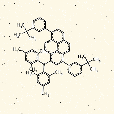 Cc1cc(C)c(B(c2c(C)cc(C)cc2C)c2cc(-c3cccc(C(C)(C)C)c3)c3ccc4ccc(-c5cccc(C(C)(C)C)c5)c5ccc2c3c45)c(C)c1